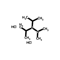 CC(C)N(C(C)C)N(C)C.Cl.Cl